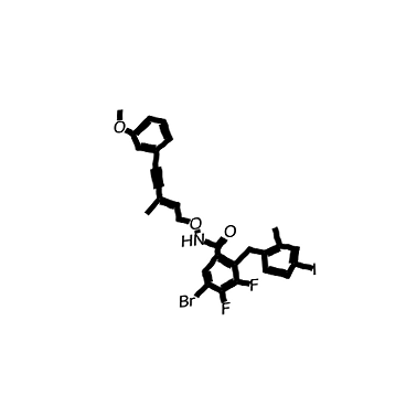 COc1cccc(C#CC(C)=CCONC(=O)c2cc(Br)c(F)c(F)c2Cc2ccc(I)cc2C)c1